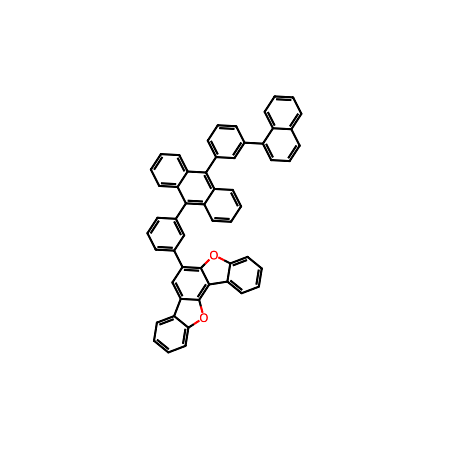 c1cc(-c2cccc3ccccc23)cc(-c2c3ccccc3c(-c3cccc(-c4cc5c6ccccc6oc5c5c4oc4ccccc45)c3)c3ccccc23)c1